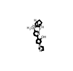 CN(c1ccc(-c2ccc(-n3ccnc3)cc2O)nn1)[C@@H]1C[C@H]2CC[C@@H]([C@@H]1F)N2C